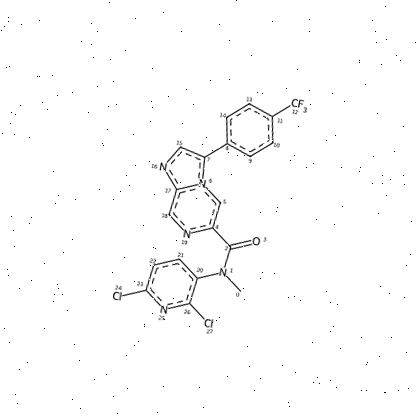 CN(C(=O)c1cn2c(-c3ccc(C(F)(F)F)cc3)cnc2cn1)c1ccc(Cl)nc1Cl